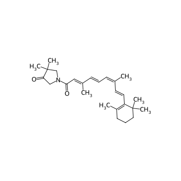 CC1=C(/C=C/C(C)=C\C=C\C(C)=C\C(=O)N2CC(=O)C(C)(C)C2)C(C)(C)CCC1